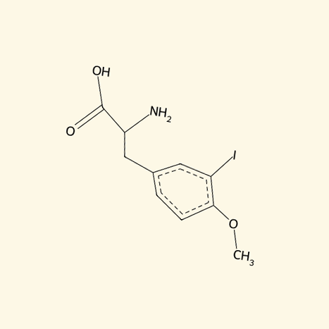 COc1ccc(CC(N)C(=O)O)cc1I